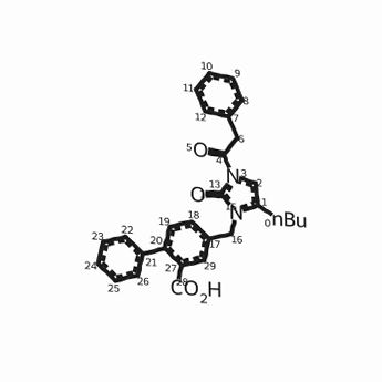 CCCCc1cn(C(=O)Cc2ccccc2)c(=O)n1Cc1ccc(-c2ccccc2)c(C(=O)O)c1